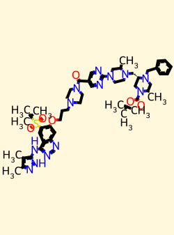 Cc1n[nH]c(Nc2ncnc3cc(OCCCN4CCN(C(=O)c5cnc(N6CCN(C[C@H]7CN(C(=O)OC(C)(C)C)[C@H](C)CN7Cc7ccccc7)C(C)C6)nc5)CC4)c(S(=O)(=O)C(C)(C)C)cc23)c1C